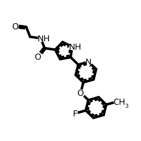 Cc1ccc(F)c(Oc2ccnc(-c3cc(C(=O)NCC=O)c[nH]3)c2)c1